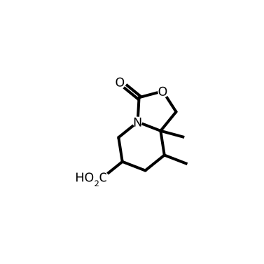 CC1CC(C(=O)O)CN2C(=O)OCC12C